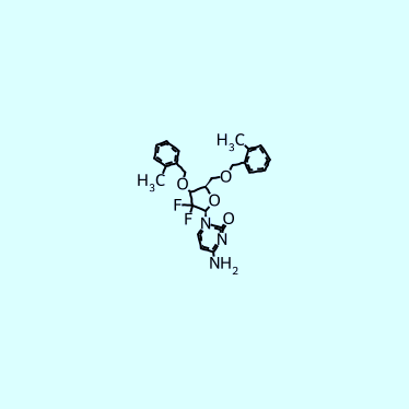 Cc1ccccc1COC[C@H]1O[C@@H](n2ccc(N)nc2=O)C(F)(F)C1OCc1ccccc1C